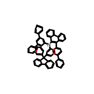 c1ccc(-c2ccc(-c3c(N(c4cc(-c5ccccc5)cc(-c5ccccc5)c4)c4cccc(C5(c6ccccc6)c6ccccc6-c6ccccc65)c4)c4ccccc4c4ccccc34)cc2)cc1